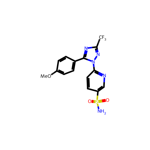 COc1ccc(-c2nc(C(F)(F)F)nn2-c2ccc(S(N)(=O)=O)cn2)cc1